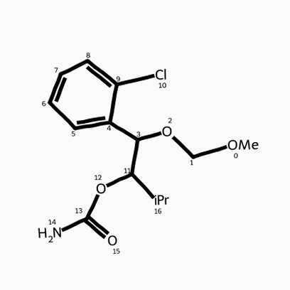 COCOC(c1ccccc1Cl)C(OC(N)=O)C(C)C